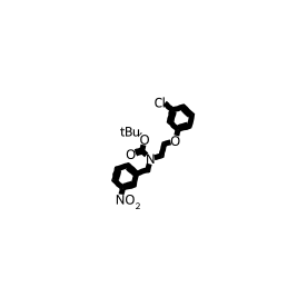 CC(C)(C)OC(=O)N(CCOc1cccc(Cl)c1)Cc1cccc([N+](=O)[O-])c1